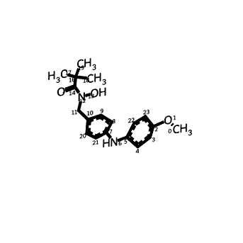 COc1ccc(Nc2ccc(CN(O)C(=O)C(C)(C)C)cc2)cc1